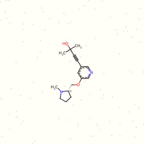 CN1CCC[C@H]1COc1cncc(C#CC(C)(C)O)c1